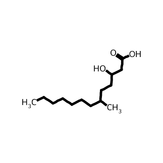 CCCCCCCC(C)CCC(O)CC(=O)O